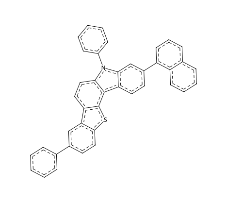 c1ccc(-c2ccc3sc4c(ccc5c4c4ccc(-c6cccc7ccccc67)cc4n5-c4ccccc4)c3c2)cc1